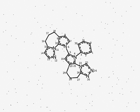 c1ccc(-n2c(-n3ccc4c3-n3nccc3CCC4)cc3c2-n2cnnc2CCC3)cc1